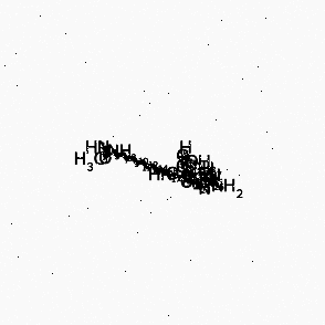 COC(=N)NCCCCCCCCCCNOC[C@H]1O[C@@H](n2cnc3c(N)ncnc32)[C@H](O)[C@@H]1O[PH](=O)O